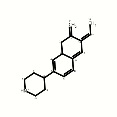 C=C1CC2C=C(C3CCNCC3)C=CC2=C/C1=C/C